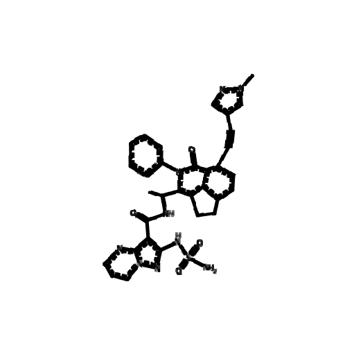 CC(NC(=O)c1c(NS(N)(=O)=O)nn2cccnc12)c1c2c3c(ccc(C#Cc4cnn(C)c4)c3c(=O)n1-c1ccccc1)CC2